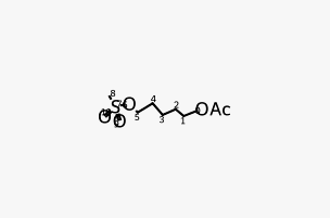 CC(=O)OCCCCCOS(C)(=O)=O